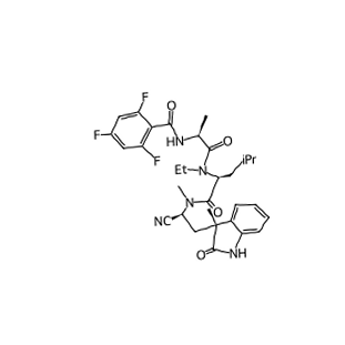 CCN(C(=O)[C@H](C)NC(=O)c1c(F)cc(F)cc1F)[C@@H](CC(C)C)C(=O)N(C)[C@H](C#N)C[C@@]1(C)C(=O)Nc2ccccc21